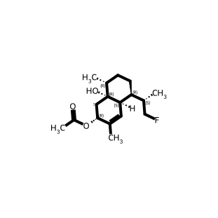 CC(=O)O[C@@H]1[C][C@@]2(O)[C@H](C)CC[C@@H]([C@H](C)CF)[C@H]2C=C1C